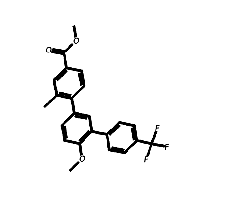 COC(=O)c1ccc(-c2ccc(OC)c(-c3ccc(C(F)(F)F)cc3)c2)c(C)c1